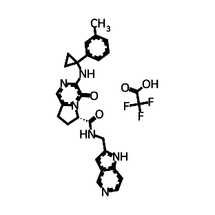 Cc1cccc(C2(Nc3ncc4n(c3=O)[C@H](C(=O)NCc3cc5cnccc5[nH]3)CC4)CC2)c1.O=C(O)C(F)(F)F